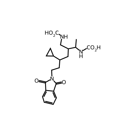 CC(NC(=O)O)C(CNC(=O)O)CC(CCN1C(=O)c2ccccc2C1=O)C1CC1